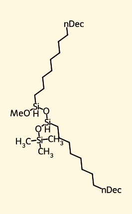 CCCCCCCCCCCCCCCCCC[SiH](OC)O[SiH](CCCCCCCCCCCCCCCCCC)O[Si](C)(C)C